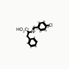 O=C(O)C(Cc1ccccc1)N=Cc1ccc(Cl)cc1